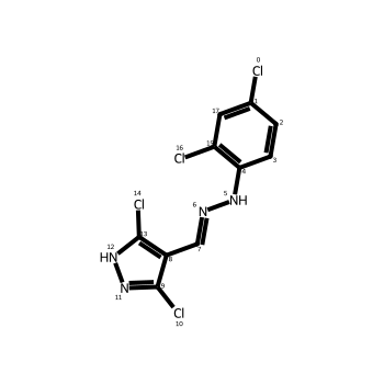 Clc1ccc(NN=Cc2c(Cl)n[nH]c2Cl)c(Cl)c1